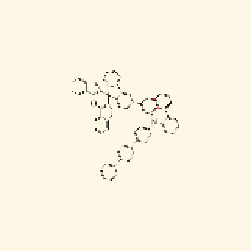 c1ccc(-c2ccc(-c3ccc(N(c4cccc(-c5ccc6c(c5)-c5ccccc5C65c6ccc7ccccc7c6Oc6c5ccc5ccccc65)c4)c4ccccc4-c4ccccc4)cc3)cc2)cc1